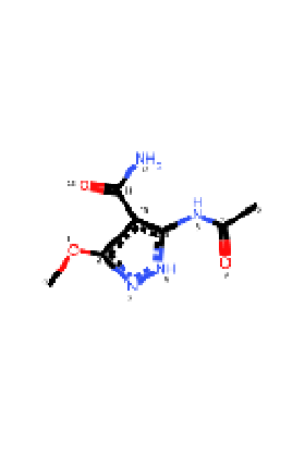 COc1n[nH]c(NC(C)=O)c1C(N)=O